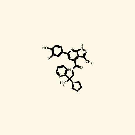 Cc1n[nH]c2nc(-c3ccc(O)c(F)c3)cc(C(=O)NCC(C)(c3ccccn3)N3CCCC3)c12